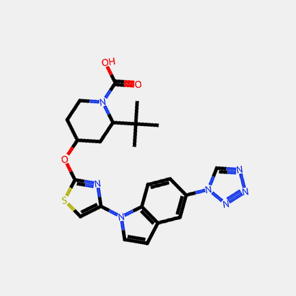 CC(C)(C)C1CC(Oc2nc(-n3ccc4cc(-n5cnnn5)ccc43)cs2)CCN1C(=O)O